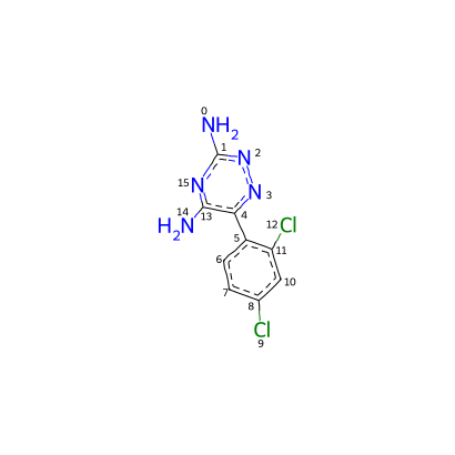 Nc1nnc(-c2ccc(Cl)cc2Cl)c(N)n1